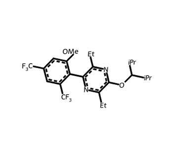 CCc1nc(-c2c(OC)cc(C(F)(F)F)cc2C(F)(F)F)c(CC)nc1OC(C(C)C)C(C)C